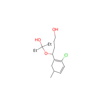 CCC(O)(CC)OC(CCCO)C1=C(Cl)C=CC(C)C1